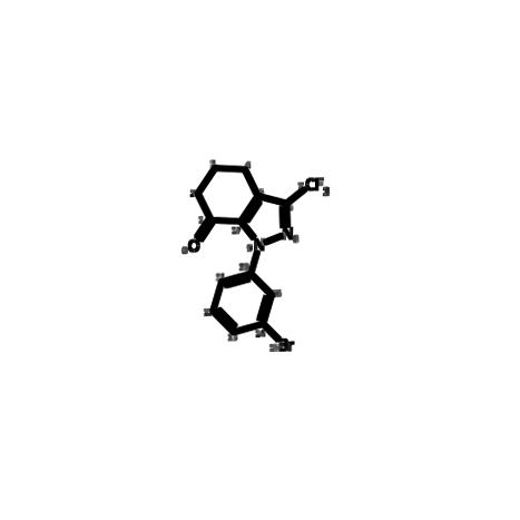 O=C1CCCc2c(C(F)(F)F)nn(-c3cccc(Br)c3)c21